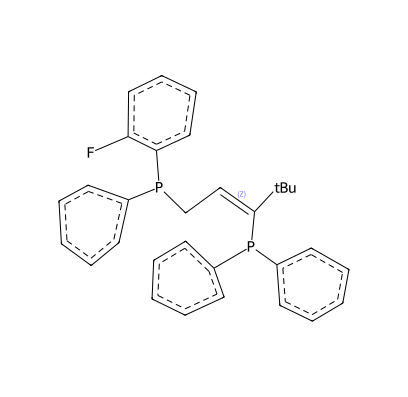 CC(C)(C)/C(=C/CP(c1ccccc1)c1ccccc1F)P(c1ccccc1)c1ccccc1